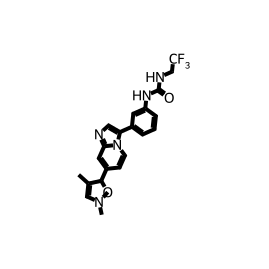 CC1=CN(C)OC1c1ccn2c(-c3cccc(NC(=O)NCC(F)(F)F)c3)cnc2c1